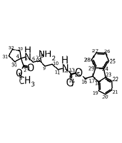 COC(=O)C1(NC[C@@H](N)CCCNC(=O)OCC2c3ccccc3-c3ccccc32)CCCC1